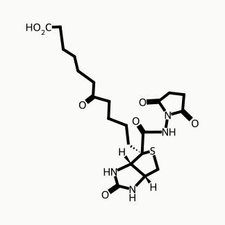 O=C(O)CCCCCC(=O)CCCC[C@]1(C(=O)NN2C(=O)CCC2=O)SC[C@@H]2NC(=O)N[C@@H]21